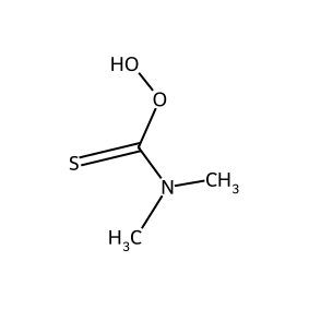 CN(C)C(=S)OO